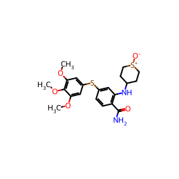 COc1cc(Sc2ccc(C(N)=O)c(NC3CC[S+]([O-])CC3)c2)cc(OC)c1OC